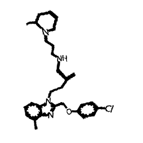 Cc1cccc2c1nc(COc1ccc(Cl)cc1)n2CCC(C)CNCCCN1CCCCC1C